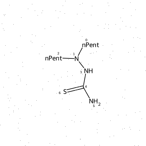 CCCCCN(CCCCC)NC(N)=S